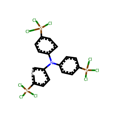 ClS(Cl)(Cl)c1ccc(N(c2ccc(S(Cl)(Cl)Cl)cc2)c2ccc(S(Cl)(Cl)Cl)cc2)cc1